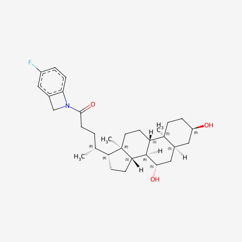 C[C@H](CCC(=O)N1Cc2cc(F)ccc21)[C@H]1CC[C@H]2[C@@H]3[C@@H](O)C[C@@H]4C[C@H](O)CC[C@]4(C)[C@H]3CC[C@]12C